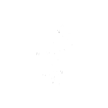 Cl.O=C(CCC1C(=O)C2CCN1CC2)c1ccc(Cl)c([N+](=O)[O-])c1